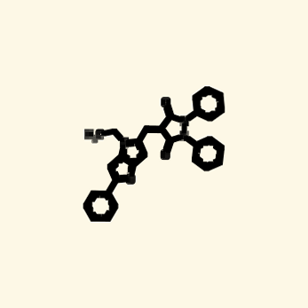 CCn1c(C=C2C(=O)N(c3ccccc3)N(c3ccccc3)C2=O)cc2oc(-c3ccccc3)cc21